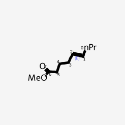 [CH2]CC/C=C/CCCC(=O)OC